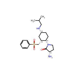 CC(C)CN[C@@H]1CC[C@H](N2CC[C@H](N)C2=O)[C@H](CS(=O)(=O)c2ccccc2)C1